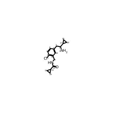 NC(Cc1ccc(Cl)c(CNC(=O)C2CC2)c1)C1CC1